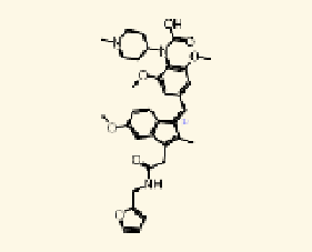 COc1ccc2c(c1)C(CC(=O)NCc1ccco1)=C(C)/C2=C/c1cc(OC)c(N(C(=O)O)C2CCN(C)CC2)c(OC)c1